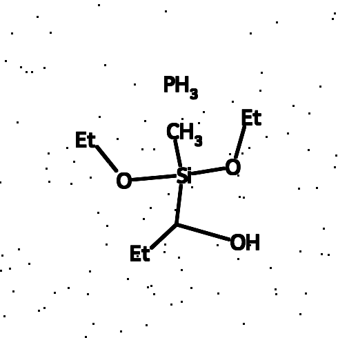 CCO[Si](C)(OCC)C(O)CC.P